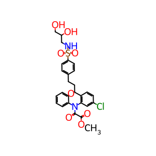 COC(=O)C(=O)N(c1ccccc1)c1cc(Cl)ccc1C(=O)CCc1ccc(S(=O)(=O)NCC(O)CO)cc1